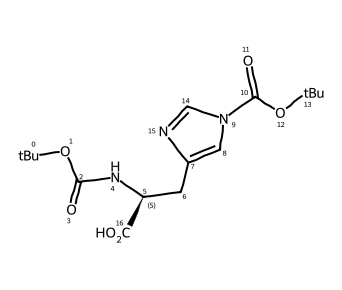 CC(C)(C)OC(=O)N[C@@H](Cc1cn(C(=O)OC(C)(C)C)cn1)C(=[18O])[18OH]